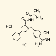 C[C@H](N)C(=O)NC(=O)[C@@H]1CC(C2CCCCC2)CN1Cc1ccc(C(=N)N)c(O)c1.Cl.Cl